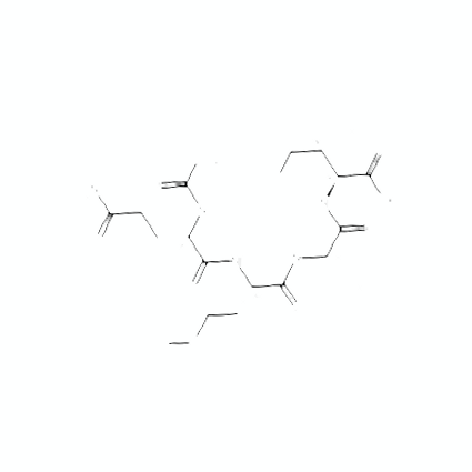 CC[C@H](C)[C@H](NC(=O)[C@H](C)NC(=O)[C@H](CCSC)NC(=O)[C@H](CCC(N)=O)NC(C)=O)C(=O)O